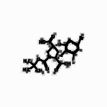 CC(C)(C)OC(=O)N1C[C@@](Oc2cc(Br)cc(F)c2I)(C(=O)O)C[C@H]1C(=O)O